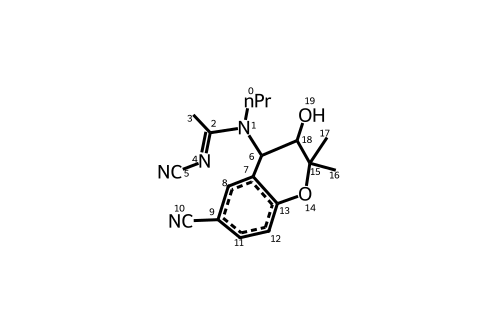 CCCN(C(C)=NC#N)C1c2cc(C#N)ccc2OC(C)(C)C1O